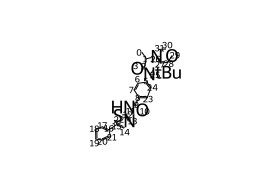 CC(C(=O)N(c1ccc(C(=O)Nc2ncc(-c3ccccc3)s2)cc1)C(C)(C)C)N1CCOCC1